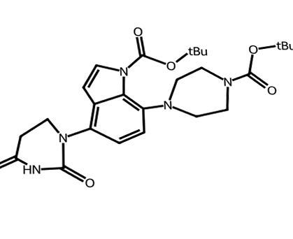 CC(C)(C)OC(=O)N1CCN(c2ccc(N3CCC(=O)NC3=O)c3ccn(C(=O)OC(C)(C)C)c23)CC1